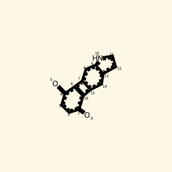 O=c1ccc(=O)c2c3cc4[nH]ccc4cc3c1=2